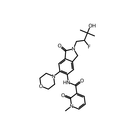 Cn1cccc(C(=O)Nc2cc3c(cc2N2CCOCC2)C(=O)N(CC(F)C(C)(C)O)C3)c1=O